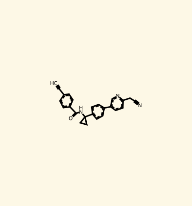 C#Cc1ccc(C(=O)NC2(c3ccc(-c4ccc(CC#N)nc4)cc3)CC2)cc1